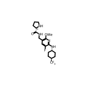 COc1nc(N[C@H]2CC[C@H](C(F)(F)F)CC2)c(F)cc1CNC(=O)[C@@H]1CCCN1